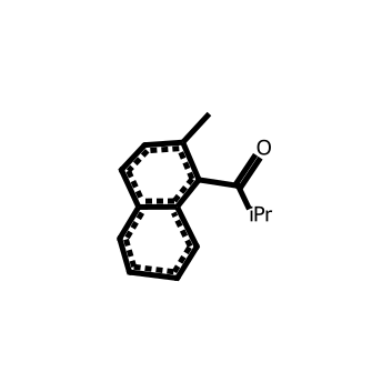 Cc1ccc2ccccc2c1C(=O)C(C)C